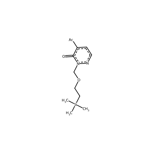 CC(=O)c1ccnn(COCC[Si](C)(C)C)c1=O